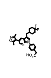 Cc1noc(C)c1-c1cnc2c(c1)c(CC1CCC(F)(F)CC1)cn2-c1ccc(CC(=O)O)cc1